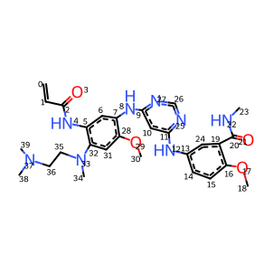 C=CC(=O)Nc1cc(Nc2cc(Nc3ccc(OC)c(C(=O)NC)c3)ncn2)c(OC)cc1N(C)CCN(C)C